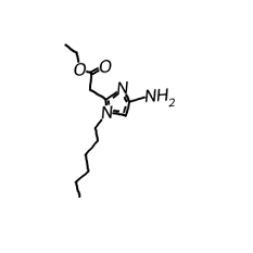 CCCCCCn1cc(N)nc1CC(=O)OCC